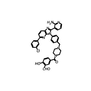 Nc1ncccc1-c1nc2ccc(-c3cccc(Cl)c3)nc2n1-c1ccc(CN2CCN(C(=O)c3ccc(O)c(C=O)c3)CC2)cc1